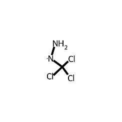 N[N]C(Cl)(Cl)Cl